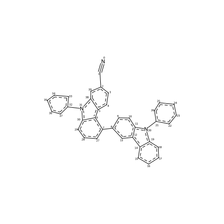 N#Cc1ccc2c3c(-c4ccc5c(c4)c4ccccc4n5-c4ccccc4)cccc3n(-c3ccccc3)c2c1